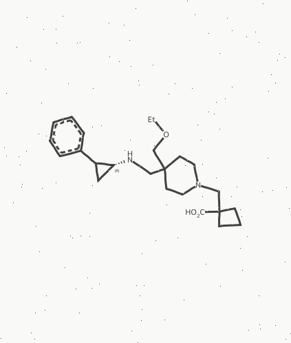 CCOCC1(CN[C@@H]2CC2c2ccccc2)CCN(CC2(C(=O)O)CCC2)CC1